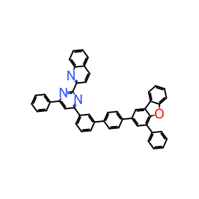 c1ccc(-c2cc(-c3cccc(-c4ccc(-c5cc(-c6ccccc6)c6oc7ccccc7c6c5)cc4)c3)nc(-c3ccc4ccccc4n3)n2)cc1